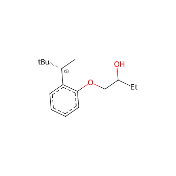 CCC(O)COc1ccccc1[C@@H](C)C(C)(C)C